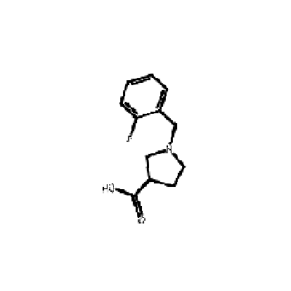 O=C(O)C1CCN(Cc2ccccc2F)C1